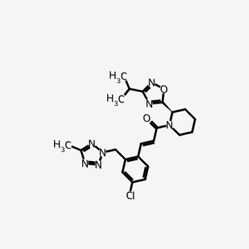 Cc1nnn(Cc2cc(Cl)ccc2/C=C/C(=O)N2CCCC[C@@H]2c2nc(C(C)C)no2)n1